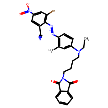 CCN(CCCCN1C(=O)c2ccccc2C1=O)c1ccc(/N=N/c2c(Br)cc([N+](=O)[O-])cc2C#N)c(C)c1